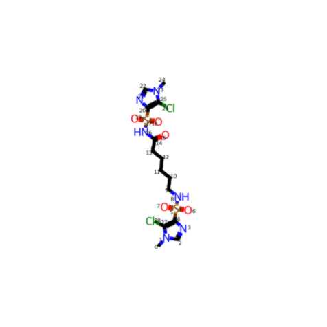 Cn1cnc(S(=O)(=O)NCCCCCC(=O)NS(=O)(=O)c2ncn(C)c2Cl)c1Cl